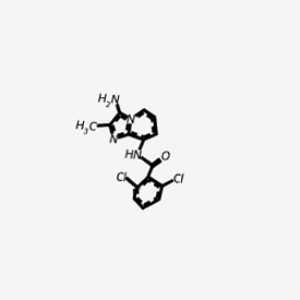 Cc1nc2c(NC(=O)c3c(Cl)cccc3Cl)cccn2c1N